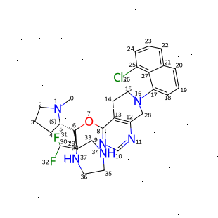 CN1CCC[C@H]1C(Oc1ncnc2c1CCN(c1cccc3cccc(Cl)c13)C2)[C@@]1(C(F)F)CNCCN1